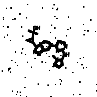 Cn1nccc1Nc1nccc(-c2ccn3c(C4CC4C(C)(C)O)nnc3c2)n1